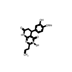 C=CCc1nc2c(c(=O)n1S)C(c1ccc(OC)c(O)c1)CC(=O)N2